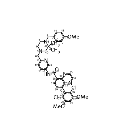 COc1ccc(CN2CCN(Cc3ccc(NC(=O)c4ccc(-c5c(Cl)c(OC)cc(OC)c5Cl)c5nccnc45)cn3)CC2(C)C)cc1